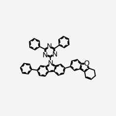 C1=Cc2c(oc3ccc(-c4ccc5c6ccc(-c7ccccc7)cc6n(-c6nc(-c7ccccc7)nc(-c7ccccc7)n6)c5c4)cc23)CC1